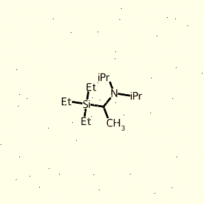 CC[Si](CC)(CC)C(C)N(C(C)C)C(C)C